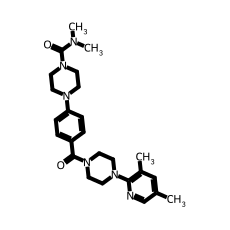 Cc1cnc(N2CCN(C(=O)c3ccc(N4CCN(C(=O)N(C)C)CC4)cc3)CC2)c(C)c1